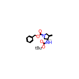 C=C1CN(C(=O)OCc2ccccc2)C[C@]1(C)NC(=O)OC(C)(C)C